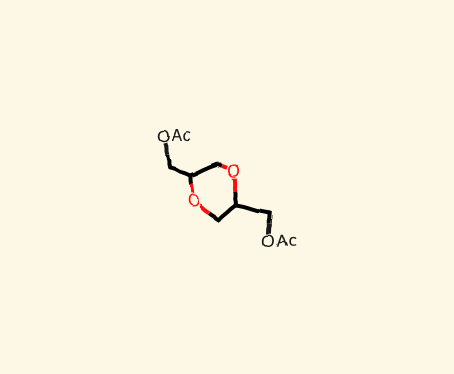 CC(=O)OCC1COC(COC(C)=O)CO1